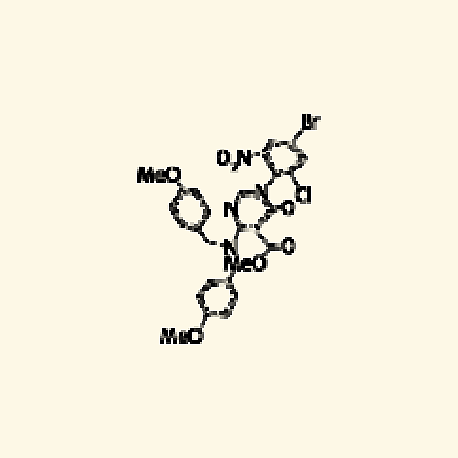 COC(=O)c1c(N(Cc2ccc(OC)cc2)Cc2ccc(OC)cc2)ncn(-c2c(Cl)cc(Br)cc2[N+](=O)[O-])c1=O